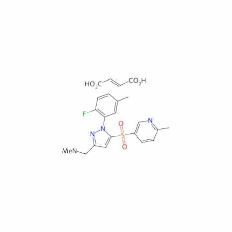 CNCc1cc(S(=O)(=O)c2ccc(C)nc2)n(-c2cc(C)ccc2F)n1.O=C(O)/C=C/C(=O)O